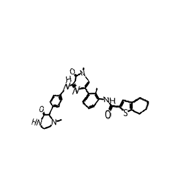 Cc1c(NC(=O)c2cc3c(s2)CCCC3)cccc1-c1cn(C)c(=O)c(Nc2ccc(C3C(=O)NCCN3C)cc2)n1